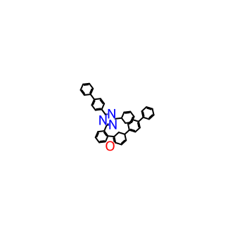 C1=CCC(c2nc(-c3ccc(-c4ccccc4)cc3)nc(-c3cccc4oc5c(c34)CC(c3ccc(-c4ccccc4)cc3)C=C5)n2)C=C1